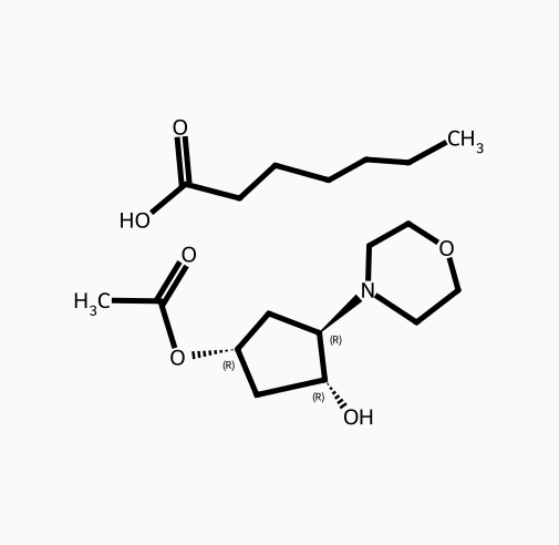 CC(=O)O[C@H]1C[C@@H](O)[C@H](N2CCOCC2)C1.CCCCCCC(=O)O